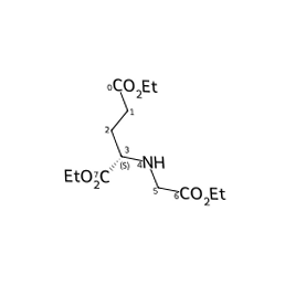 CCOC(=O)CC[C@H](NCC(=O)OCC)C(=O)OCC